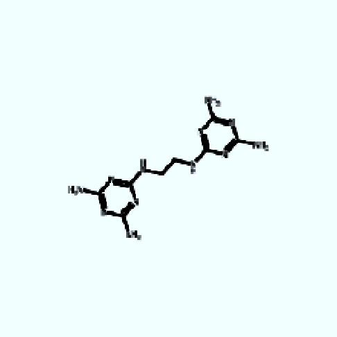 Nc1nc(N)nc(NCCNc2nc(N)nc(N)n2)n1